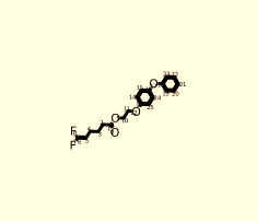 O=C(CCCC=C(F)F)OCCOc1ccc(Oc2ccccc2)cc1